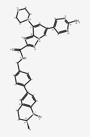 CC(=O)N1c2ccc(-c3ccc(CNC(=O)c4nc5c(N6CCOCC6)cc(-c6cnc(N)nc6)cn5n4)cc3)cc2CC[C@@H]1C